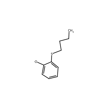 CCCCSc1ccccc1[O]